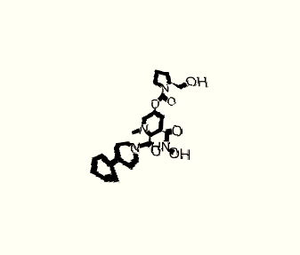 CN1C[C@@H](OC(=O)N2CCC[C@H]2CO)C[C@H](C(=O)NO)[C@H]1C(=O)N1CC=C(c2ccccc2)CC1